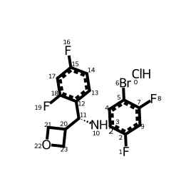 Cl.Fc1ccc(Br)c(F)c1.N[C@@H](c1ccc(F)cc1F)C1COC1